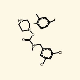 Cc1cc(F)ccc1[C@H]1CNCCN1OC(=O)N(C)Cc1cc(Cl)cc(Cl)c1